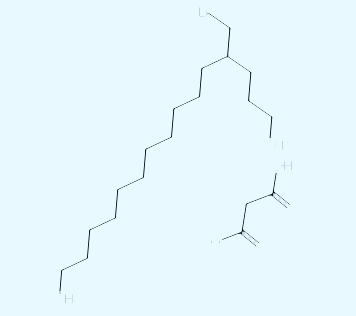 O=C(O)CC(=O)O.[Li][CH2]C(CCCC)CCCCCCCCCCCC